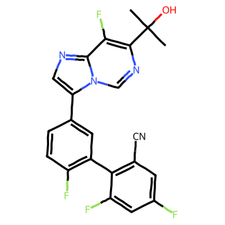 CC(C)(O)c1ncn2c(-c3ccc(F)c(-c4c(F)cc(F)cc4C#N)c3)cnc2c1F